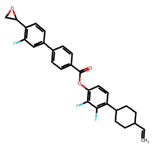 C=CC1CCC(c2ccc(OC(=O)c3ccc(-c4ccc(C5CO5)c(F)c4)cc3)c(F)c2F)CC1